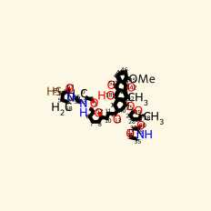 C=C(COCC1CCCC(CCC(=O)C2Cc3c(O)c4c(c(C)c3[C@@H](OC3CC[C@H](OC5COCCN5)[C@H](C)O3)C2)C(=O)c2c(OC)cccc2C4=O)O1)NCCN1C(=C)CC(S)C1=O